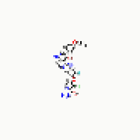 COc1ccc(-c2c[nH]c3ccnc(Nc4ccc(Oc5ccnc(C(N)=O)c5Cl)c(F)c4)c3c2=O)cc1